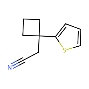 N#CCC1(c2cccs2)CCC1